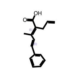 C=CC/C(C(=O)O)=C(C)\C=C\c1ccccc1